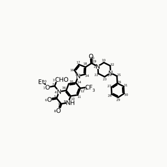 CCOC(C=O)n1c(=O)c(=O)[nH]c2cc(C(F)(F)F)c(-n3ccc(C(=O)N4CCN(Cc5ccccc5)CC4)c3)cc21